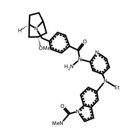 CCN(c1ccnc(N(N)C(=O)c2ccc(CN3C4CC[C@@H]3C[C@@H](OC)C4)cc2)c1)c1ccc2c(ccn2C(=O)NC)c1